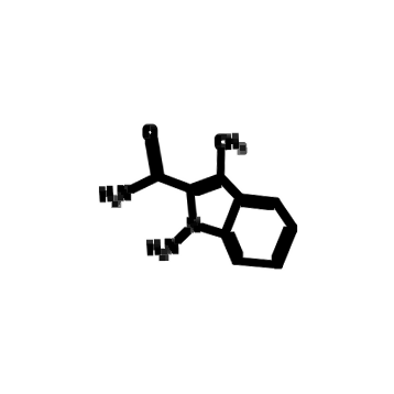 Cc1c(C(N)=O)n(N)c2ccccc12